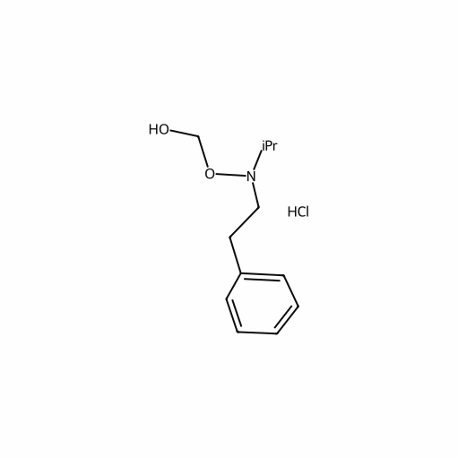 CC(C)N(CCc1ccccc1)OCO.Cl